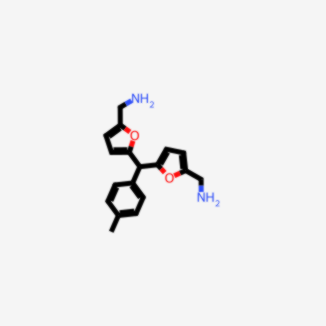 Cc1ccc(C(c2ccc(CN)o2)c2ccc(CN)o2)cc1